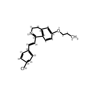 CCCOc1ccc2c(c1)CCN=C2/C=C/c1ccc(Cl)cc1